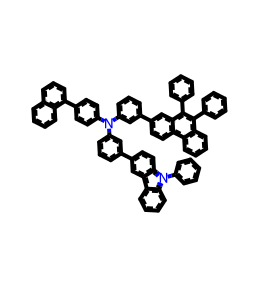 c1ccc(-c2c(-c3ccccc3)c3cc(-c4cccc(N(c5ccc(-c6cccc7ccccc67)cc5)c5cccc(-c6ccc7c(c6)c6ccccc6n7-c6ccccc6)c5)c4)ccc3c3ccccc23)cc1